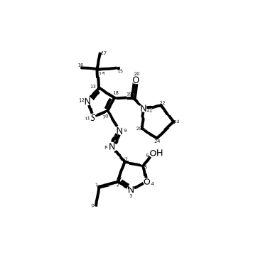 CCC1=NOC(O)C1N=Nc1snc(C(C)(C)C)c1C(=O)N1CCCC1